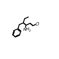 CCC(Cc1ccccc1)C(N)CCCl